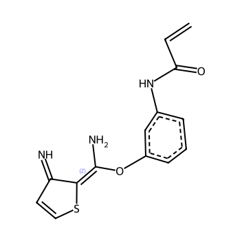 C=CC(=O)Nc1cccc(O/C(N)=C2\SC=CC2=N)c1